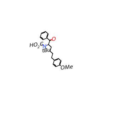 COc1ccc(CCCCC(C(=O)c2ccccc2)N(C(=O)O)C(C)(C)C)cc1